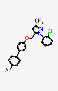 CC(=O)c1ccc(-c2ccc(OCc3cc(C(F)(F)F)nn3-c3ccccc3Cl)cc2)cc1